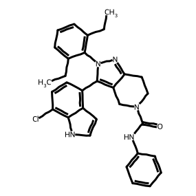 CCc1cccc(CC)c1-n1nc2c(c1-c1ccc(Cl)c3[nH]ccc13)CN(C(=O)Nc1ccccc1)CC2